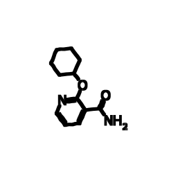 NC(=O)c1cccnc1OC1CCCCC1